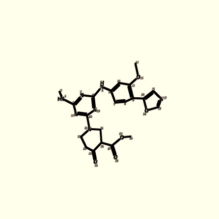 CNc1nc(Nc2ccc(-c3cnco3)c(OC)c2)nc(N2CCC(=O)C(C(=O)OC)C2)n1